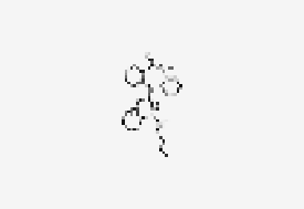 CCCCN(C)CC1CCCCN1CC(=O)N1c2ccccc2NC(=O)c2ccccc21